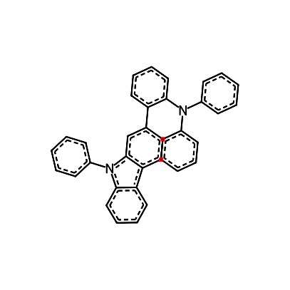 c1ccc(N(c2ccccc2)c2ccccc2-c2ccc3c4ccccc4n(-c4ccccc4)c3c2)cc1